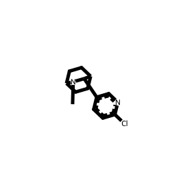 CN1C2CCC(CC2)C1c1ccc(Cl)nc1